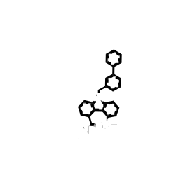 NC(=O)c1cccc2c1c1c(O)cccc1n2Cc1cccc(-c2ccccc2)c1